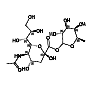 CC(=O)N[C@H]1[C@H]([C@H](O)[C@H](O)CO)O[C@](O)(C(=O)OC2O[C@H](C)[C@H](O)[C@H](O)[C@H]2O)C[C@@H]1O